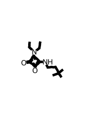 CCN(CC)c1c(NCCC(C)(C)C)c(=O)c1=O